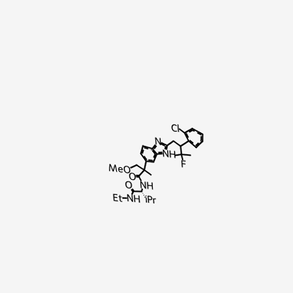 CCNC(=O)[C@H](NC(=O)C(C)(COC)c1ccc2nc(CC(c3ccccc3Cl)C(C)(C)F)[nH]c2c1)C(C)C